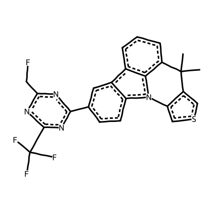 CC1(C)c2cscc2-n2c3ccc(-c4nc(CF)nc(C(F)(F)F)n4)cc3c3cccc1c32